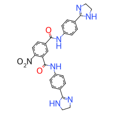 O=C(Nc1ccc(C2=NCCN2)cc1)c1ccc([N+](=O)[O-])c(C(=O)Nc2ccc(C3=NCCN3)cc2)c1